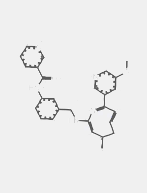 COc1cncc(C2=N/C(N[C@@H](C)c3cccc(NC(=O)c4cccnc4)c3)=C\C(C)C\C=C\2)c1